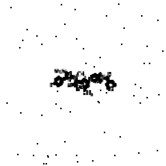 CCc1nn2c(C)cc(N3CCC4(CN(C(=O)C5CCOCC5)C4)C3)cc2c1N(C)c1nc(-c2ccc(F)cc2)c(NC)s1